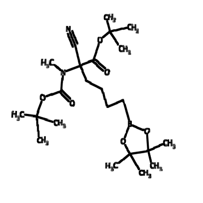 CN(C(=O)OC(C)(C)C)C(C#N)(CCCCB1OC(C)(C)C(C)(C)O1)C(=O)OC(C)(C)C